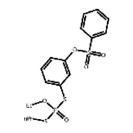 CCCSP(=O)(OCC)Sc1cccc(OS(=O)(=O)c2ccccc2)c1